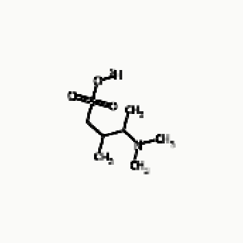 [2H]OS(=O)(=O)CC(C)C(C)N(C)C